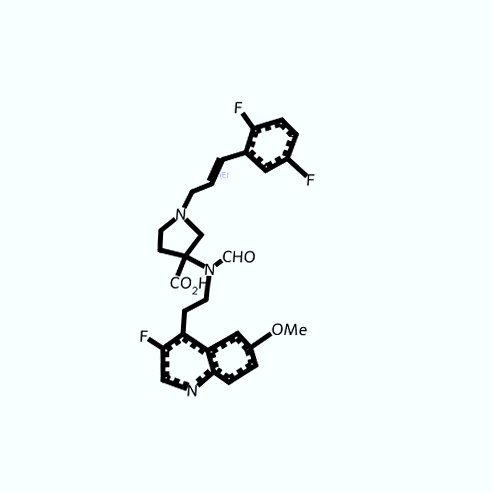 COc1ccc2ncc(F)c(CCN(C=O)C3(C(=O)O)CCN(C/C=C/c4cc(F)ccc4F)C3)c2c1